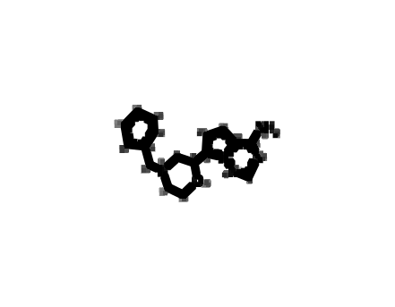 Nc1ncnn2c(C3CN(Cc4ccccc4)CCO3)ccc12